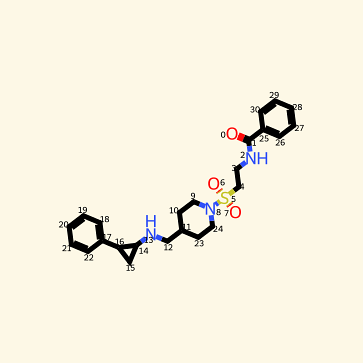 O=C(NCCS(=O)(=O)N1CCC(CNC2CC2c2ccccc2)CC1)c1ccccc1